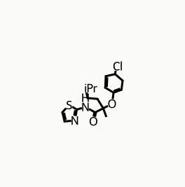 CC(C)CCC(C)(OC1=CCC(Cl)C=C1)C(=O)Nc1nccs1